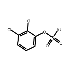 CCS(=O)(=O)Oc1cccc(Cl)c1Cl